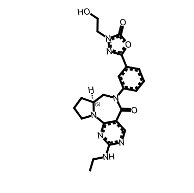 CCNc1ncc2c(n1)N1CCC[C@H]1CN(c1cccc(-c3nn(CCO)c(=O)o3)c1)C2=O